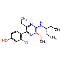 CCc1nc(NC(CC)CC)c(OC)nc1-c1ccc(O)cc1Cl